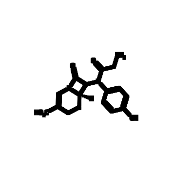 NCC(=O)N(c1ccc(O)cc1)C1C(=O)N2C=C(C(=O)O)CS[C@H]12